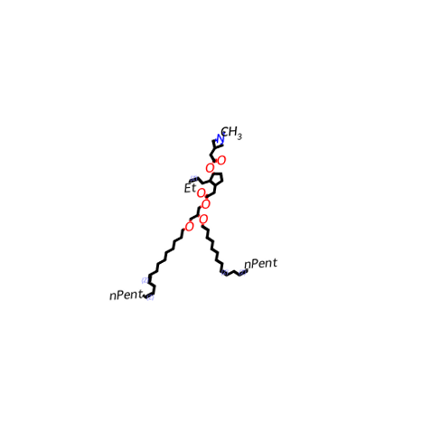 CC/C=C\CC1C(CC(=O)OCC(COCCCCCCCC/C=C\C/C=C\CCCCC)OCCCCCCCC/C=C\C/C=C\CCCCC)CCC1OC(=O)CC1CN(C)C1